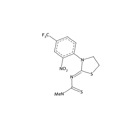 CNC(=S)N=C1SCCN1c1ccc(C(F)(F)F)cc1[N+](=O)[O-]